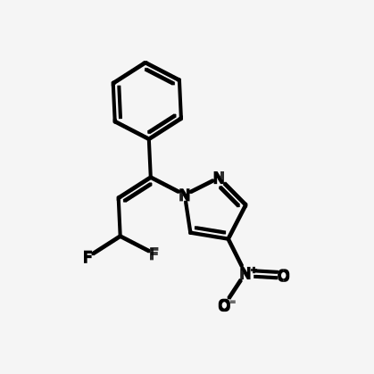 O=[N+]([O-])c1cnn(C(=CC(F)F)c2ccccc2)c1